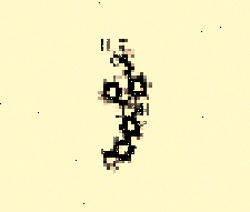 [2H]C(c1ccc(-c2ccc3sncc3c2)cc1)N(C(=O)C1CCCCC1)c1cccc(/C=C/C(=O)OC)c1